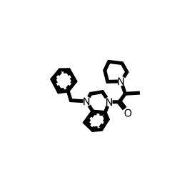 CC(C(=O)N1CCN(Cc2ccccc2)c2ccccc21)N1CCCCC1